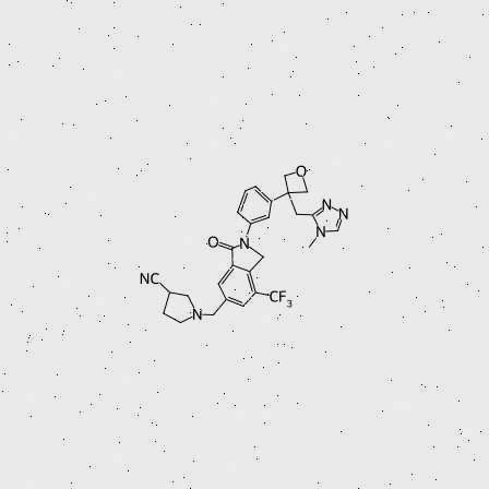 Cn1cnnc1CC1(c2cccc(N3Cc4c(cc(CN5CCC(C#N)C5)cc4C(F)(F)F)C3=O)c2)COC1